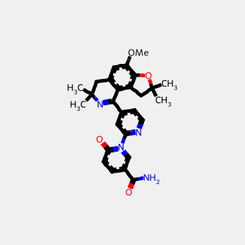 COc1cc2c(c3c1OC(C)(C)C3)C(c1ccnc(-n3cc(C(N)=O)ccc3=O)c1)=NC(C)(C)C2